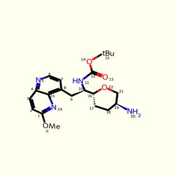 COc1ccc2nccc(C[C@@H](NC(=O)OC(C)(C)C)[C@H]3CC[C@H](N)CO3)c2n1